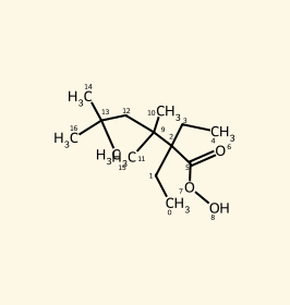 CCC(CC)(C(=O)OO)C(C)(C)CC(C)(C)C